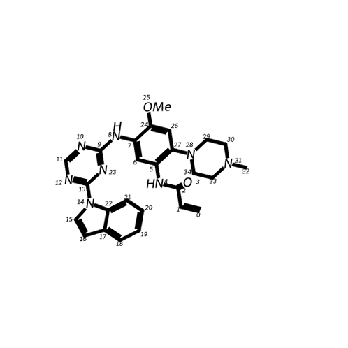 C=CC(=O)Nc1cc(Nc2ncnc(-n3ccc4ccccc43)n2)c(OC)cc1N1CCN(C)CC1